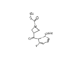 COc1cccc(F)c1C(=O)C1CN(C(=O)OC(C)(C)C)C1